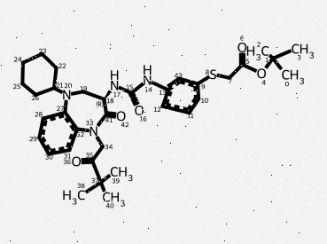 CC(C)(C)OC(=O)CSc1cccc(NC(=O)N[C@@H]2CN(C3CCCCC3)c3ccccc3N(CC(=O)C(C)(C)C)C2=O)c1